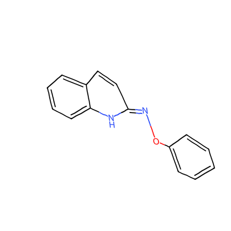 c1ccc(ON=c2ccc3ccccc3[nH]2)cc1